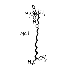 CC(C)CCCCCCCCCCOCCCN(C)C(C)(O)O.Cl